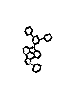 c1ccc(-c2cc(-c3ccccc3)cc(-n3c4cccc5c6ccn(-c7ccccc7)c6c6cccc3c6c54)c2)cc1